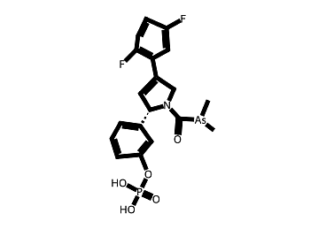 C[As](C)C(=O)N1CC(c2cc(F)ccc2F)=C[C@H]1c1cccc(OP(=O)(O)O)c1